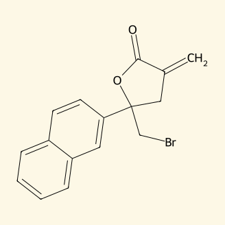 C=C1CC(CBr)(c2ccc3ccccc3c2)OC1=O